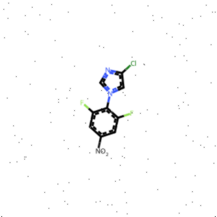 O=[N+]([O-])c1cc(F)c(-n2cnc(Cl)c2)c(F)c1